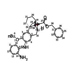 CCCCOc1cc2c(cc1Nc1ccccc1N)C[C@H]1[C@H]3CCCC[C@@]23CCN1C(=O)OCc1ccccc1